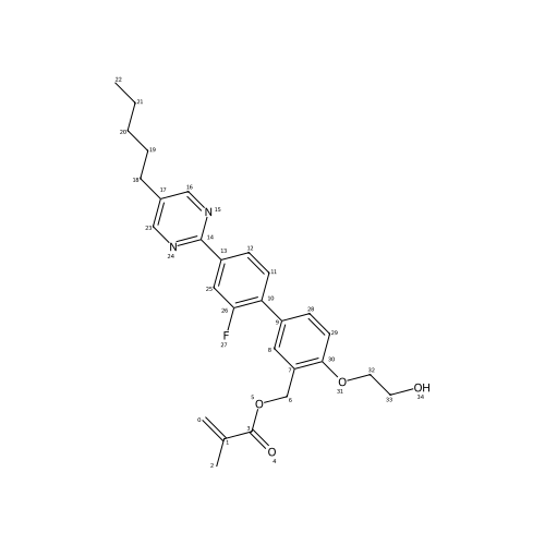 C=C(C)C(=O)OCc1cc(-c2ccc(-c3ncc(CCCCC)cn3)cc2F)ccc1OCCO